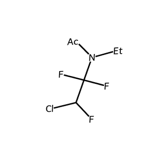 CCN(C(C)=O)C(F)(F)C(F)Cl